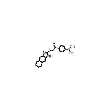 O=C(CSc1nc2cc3ccccc3cc2[nH]1)c1ccc(N(O)O)cc1